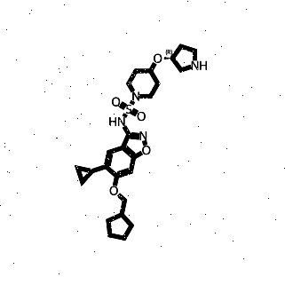 O=S(=O)(Nc1noc2cc(OCC3CCCC3)c(C3CC3)cc12)N1CCC(O[C@@H]2CCNC2)CC1